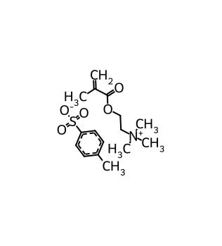 C=C(C)C(=O)OCC[N+](C)(C)C.Cc1ccc(S(=O)(=O)[O-])cc1